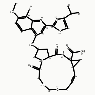 COc1ccc2c(OC3CC4C(=O)NC5(C(=O)O)CC5C=CCCCCCC(=O)N4C3)cc(-c3nc(C(C)C)cs3)nc2c1Cl